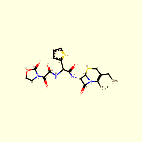 CC(=O)OCC1=C(C(=O)O)N2C(=O)[C@H](NC(=O)C(NC(=O)C(=O)N3CCOC3=O)c3cccs3)C2SC1